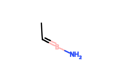 CC=BN